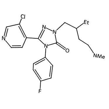 CCC(CCNC)Cn1nc(-c2ccncc2Cl)n(-c2ccc(F)cc2)c1=O